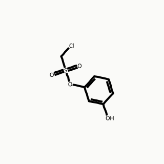 O=S(=O)(CCl)Oc1cccc(O)c1